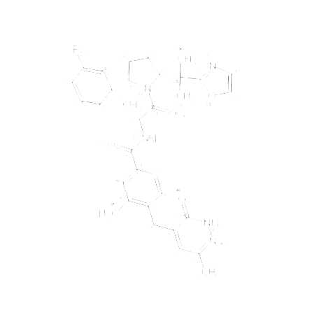 Cc1cc(Cc2ccc(C(=O)NCC(=O)N3[C@H](C4(C)C=C(F)C=CC4)CC[C@@H]3C(C)(C)c3ncco3)cc2C)c(=O)[nH]n1